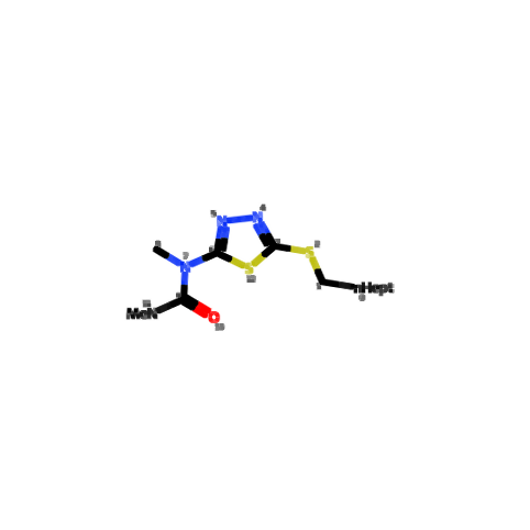 CCCCCCCCSc1nnc(N(C)C(=O)NC)s1